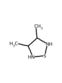 CC1NSNC1C